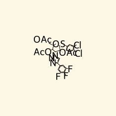 CC(=O)OC[C@H]1O[C@H](Sc2ccc(Cl)c(Cl)c2)[C@H](OC(C)=O)[C@@H](n2cc(-c3cc(F)c(F)c(F)c3)nn2)[C@H]1OC(C)=O